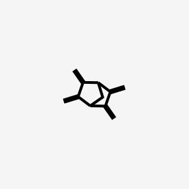 C=C1C(=C)C2CC1C(=C)C2=C